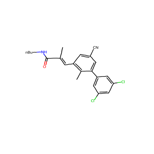 CCCCNC(=O)/C(C)=C/c1cc(C#N)cc(-c2cc(Cl)cc(Cl)c2)c1C